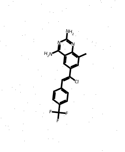 Cc1cc(C(Cl)=Cc2ccc(C(F)(F)F)cc2)cc2c(N)nc(N)nc12